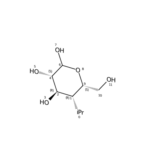 CC(C)[C@@H]1[C@@H](O)[C@H](O)C(O)O[C@@H]1CO